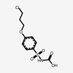 O=C(O)NS(=O)(=O)c1ccc(OCCCCl)cc1